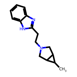 CC1C2CN(CCc3nc4ccccc4[nH]3)CC12